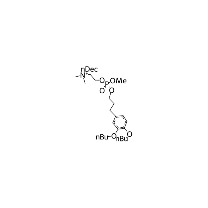 CCCCCCCCCC[N+](C)(C)CCOP(=O)(OC)OCCCc1ccc(OCCCC)c(OCCCC)c1